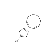 C1=CCCCCC=C1.[Co][C]1=CC=CC1